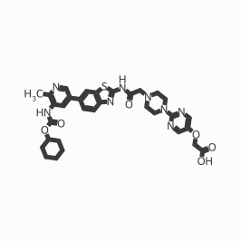 Cc1ncc(-c2ccc3nc(NC(=O)CN4CCN(c5ncc(OCC(=O)O)cn5)CC4)sc3c2)cc1NC(=O)OC1CCCCC1